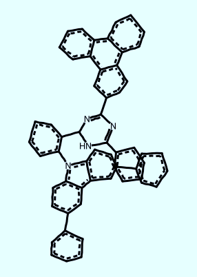 c1ccc(C2=NC(c3ccc4c5ccccc5c5ccccc5c4c3)=NC(c3ccccc3-n3c4ccc(-c5ccccc5)cc4c4cc(-c5ccccc5)ccc43)N2)cc1